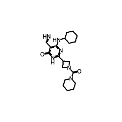 N=Cc1c(NC2CCCCC2)nc(C2CN(C(=O)N3CCCCC3)C2)[nH]c1=O